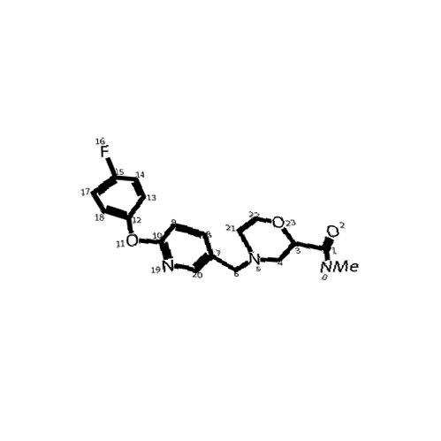 CNC(=O)C1CN(Cc2ccc(Oc3ccc(F)cc3)nc2)CCO1